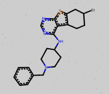 CCC1CCc2c(sc3ncnc(NC4CCN(Cc5ccccc5)CC4)c23)C1